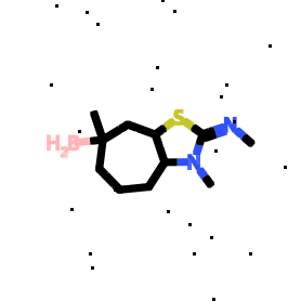 BC1(C)CCCC2C(C1)S/C(=N/C)N2C